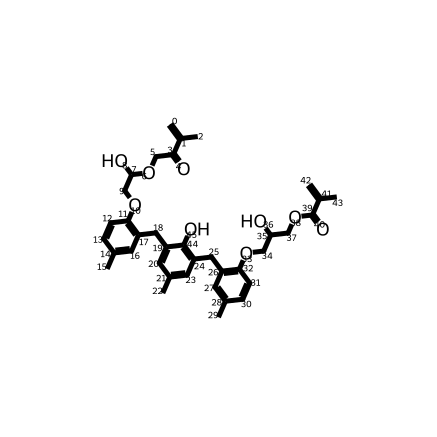 C=C(C)C(=O)COC(O)COc1ccc(C)cc1Cc1cc(C)cc(Cc2cc(C)ccc2OCC(O)COC(=O)C(=C)C)c1O